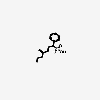 C=C(CCC)CCC(c1ccccc1)S(=O)(=O)O